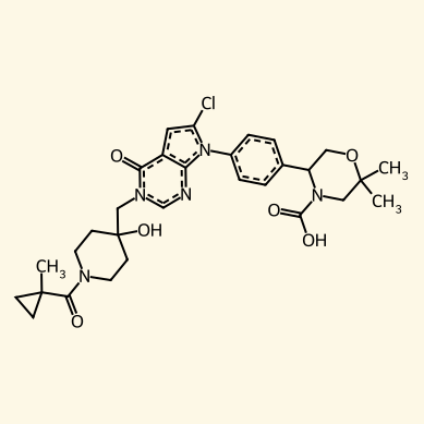 CC1(C)CN(C(=O)O)C(c2ccc(-n3c(Cl)cc4c(=O)n(CC5(O)CCN(C(=O)C6(C)CC6)CC5)cnc43)cc2)CO1